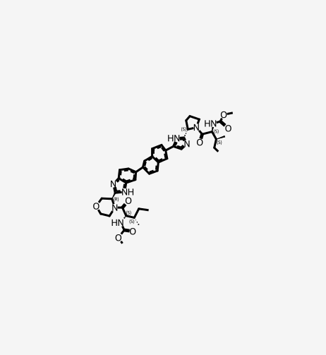 CC[C@H](C)[C@H](NC(=O)OC)C(=O)N1CCC[C@H]1c1ncc(-c2ccc3cc(-c4ccc5nc([C@@H]6COCCN6C(=O)[C@@H](NC(=O)OC)[C@@H](C)CC)[nH]c5c4)ccc3c2)[nH]1